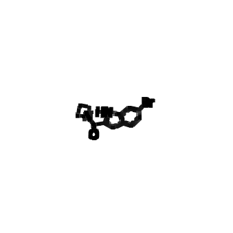 O=C(c1cc2ccc(Br)cc2[nH]1)N1CCC1